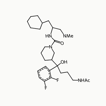 CNCC(CC1CCCCC1)NC(=O)N1CCCC(C(O)(CCCNC(C)=O)c2cccc(F)c2F)C1